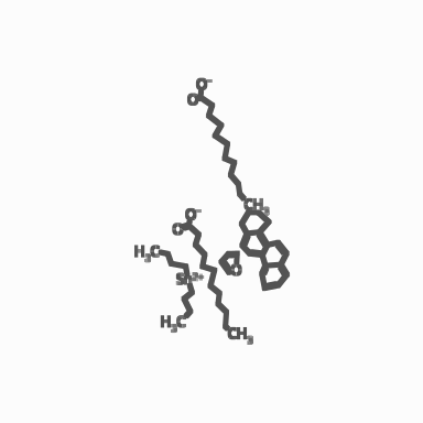 CCCCCCCCCCCC(=O)[O-].CCCCCCCCCCCC(=O)[O-].CCC[CH2][Sn+2][CH2]CCC.c1ccc2c(c1)ccc1c3c(ccc12)CCCC3.c1ccoc1